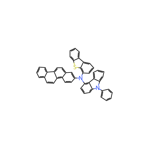 c1ccc(-n2c3ccccc3c3c(N(c4ccc5c(ccc6c7ccccc7ccc56)c4)c4cccc5c4sc4ccccc45)cccc32)cc1